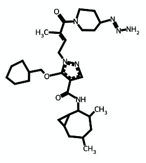 C/C(=C\Cn1ncc(C(=O)NC2C(C)CC(C)CC3CC32)c1OCC1CCCCC1)C(=O)N1CCC(N=NN)CC1